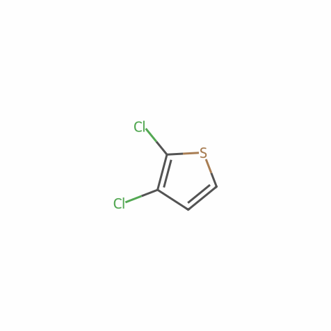 Clc1ccsc1Cl